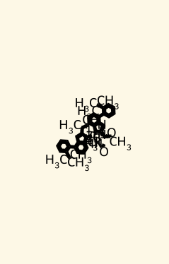 CCC(C)C1=Cc2c(-c3ccccc3C(C)(C)C)cccc2[CH]1[Zr]([Cl])([Cl])([B](NC=O)NC=O)[CH]1C(C(C)CC)=Cc2c(-c3ccccc3C(C)(C)C)cccc21